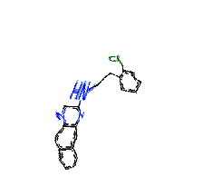 Clc1ccccc1CCNc1cnc2cc3ccccc3cc2n1